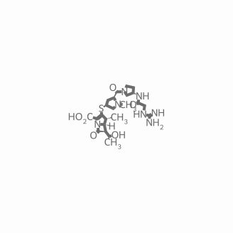 C[C@@H](O)[C@H]1C(=O)N2C(C(=O)O)=C(S[C@H]3C[C@@H](C(=O)N4CC[C@H](NC(=O)CNC(=N)N)C4)N(C)C3)[C@H](C)[C@@H]12